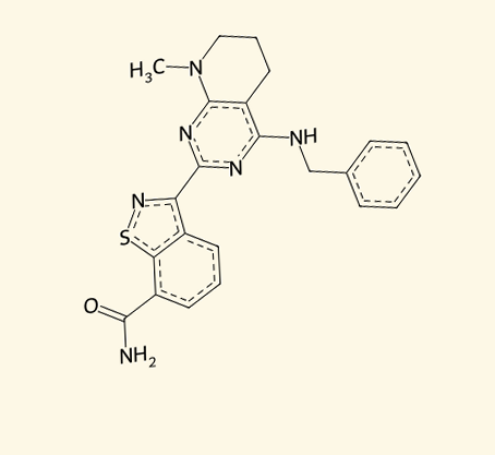 CN1CCCc2c(NCc3ccccc3)nc(-c3nsc4c(C(N)=O)cccc34)nc21